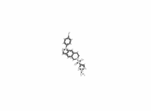 Cn1ncc(S(=O)(=O)N2CCc3cc4c(cnn4-c4ccc(F)cc4)cc3C2)n1